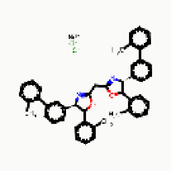 Cc1ccccc1-c1cccc([C@H]2N=C(CC3=N[C@H](c4cccc(-c5ccccc5C)c4)C(c4ccccc4C)O3)OC2c2ccccc2C)c1.[Cl-].[Cl-].[Ni+2]